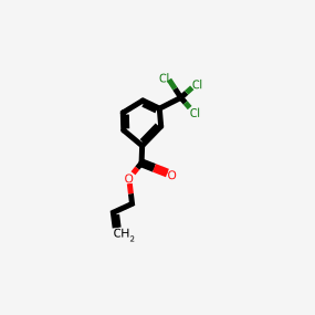 C=CCOC(=O)c1cccc(C(Cl)(Cl)Cl)c1